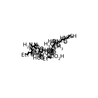 CCC=CC(=O)O.CCC=CC(=O)c1nc(N)c2ncn([C@@H]3O[C@H](COP(=O)(O)OP(=O)(O)OCC(C)(C)[C@@H](O)C(=O)NCCC(=O)NCCS)[C@@H](OP(=O)(O)O)[C@H]3O)c2n1